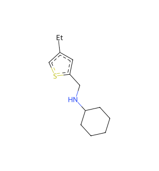 CCc1csc(CNC2CCCCC2)c1